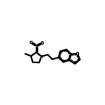 CC1CCN(CCc2ccc3occc3c2)C1=S(=O)=O